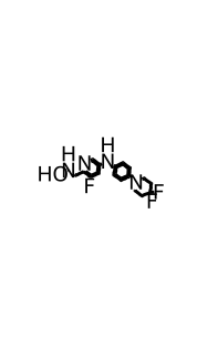 ONCc1ncc(Nc2ccc(N3CCC(F)(F)CC3)cc2)cc1F